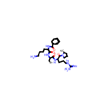 CC(C)CC(NC(=O)C(CCCCN)NC(=O)c1ccccc1)C(=O)NC(CCCNC(=N)N)C(=O)N1CCCC1C#N